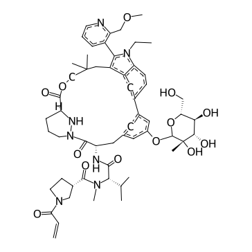 C=CC(=O)N1CC[C@H](C(=O)N(C)[C@H](C(=O)N[C@H]2Cc3cc(OC4O[C@H](CO)[C@@H](O)[C@H](O)[C@]4(C)O)cc(c3)-c3ccc4c(c3)c(c(-c3cccnc3COC)n4CC)CC(C)(C)COC(=O)[C@@H]3CCCN(N3)C2=O)C(C)C)C1